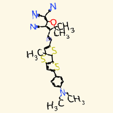 CCN(CC)c1ccc(-c2cc3c(s2)C2SC(/C=C/C4=C(C#N)C(=C(C#N)C#N)OC4(C)C)=CC2(C)S3)cc1